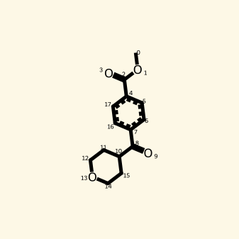 COC(=O)c1ccc(C(=O)C2CCOCC2)cc1